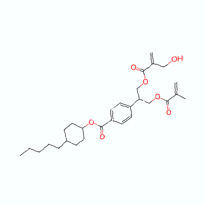 C=C(C)C(=O)OCC(COC(=O)C(=C)CO)c1ccc(C(=O)OC2CCC(CCCCC)CC2)cc1